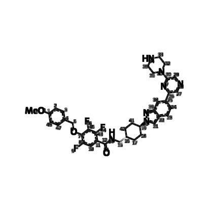 COc1ccc(COc2c(F)cc(C(=O)NC[C@H]3CC[C@H](n4cc5ccc(-c6cncc(N7CCNCC7)n6)cc5n4)CC3)c(F)c2F)cc1